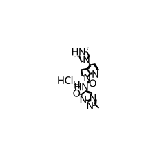 Cc1cn2cc(NC(=O)N3CCc4c(N5C[C@@H](C)N[C@@H](C)C5)ccnc43)c(O)nc2n1.Cl